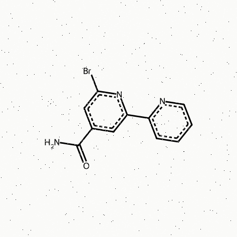 NC(=O)c1cc(Br)nc(-c2ccccn2)c1